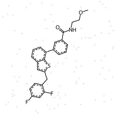 COCCNC(=O)c1cccc(-c2cccc3cc(Cc4ccc(F)cc4F)sc23)c1